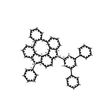 c1ccc(-c2cc(-c3ccccc3)nc(-n3c4cccc5c6ccccc6c6cccc7c6c6c(c54)c3ccc6n7-c3ccccc3)n2)cc1